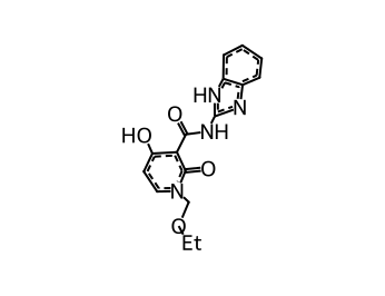 CCOCn1ccc(O)c(C(=O)Nc2nc3ccccc3[nH]2)c1=O